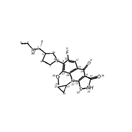 CCN[C@H](C)C1CCN(c2c(F)cc3c(=O)c4c(=O)[nH]sc4n(C4CC4)c3c2OC)C1